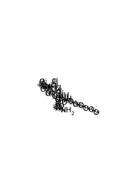 COCCOCCOCCOCCOCCOCCC(=O)N[C@H](CC(=O)N1CC2(CCCN2C(=O)CN)C1)C(=O)Nc1cccc(-c2cc3c(cc2OC)OCc2c(C(=O)N4CCOCC4(C)C)nn(-c4cc(Cl)cc(Cl)c4)c2-3)c1